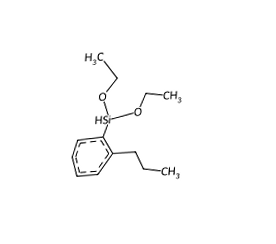 CCCc1ccccc1[SiH](OCC)OCC